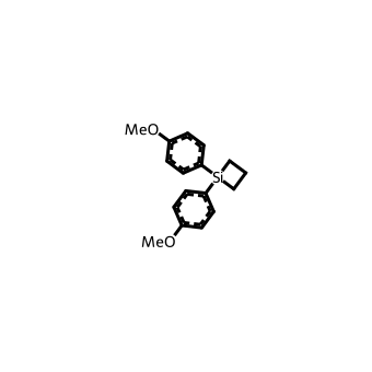 COc1ccc([Si]2(c3ccc(OC)cc3)CCC2)cc1